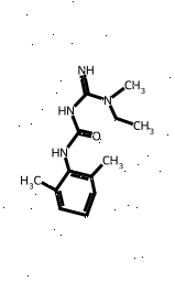 CCN(C)C(=N)NC(=O)Nc1c(C)cccc1C